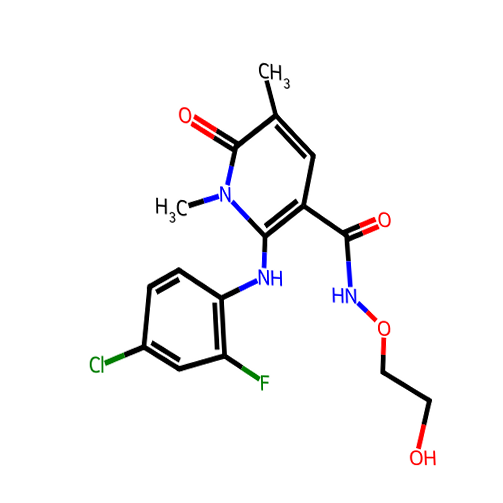 Cc1cc(C(=O)NOCCO)c(Nc2ccc(Cl)cc2F)n(C)c1=O